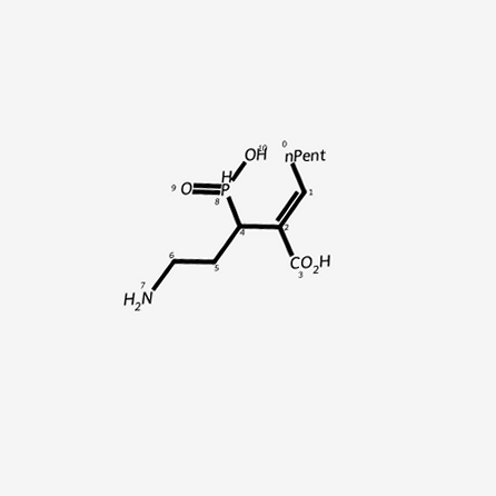 CCCCCC=C(C(=O)O)C(CCN)[PH](=O)O